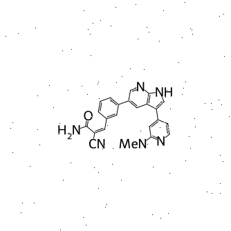 CNc1cc(-c2c[nH]c3ncc(-c4cccc(C=C(C#N)C(N)=O)c4)cc23)ccn1